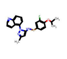 Cc1cc(NSc2ccc(OC(C)C)c(F)c2)n(-c2cccc3ncccc23)n1